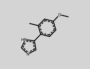 COc1ccc(-c2cnc[nH]2)c(C)c1